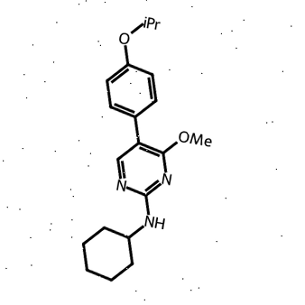 COc1nc(NC2CCCCC2)ncc1-c1ccc(OC(C)C)cc1